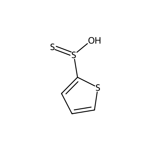 OS(=S)c1cccs1